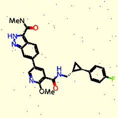 CNC(=O)c1[nH]nc2cc(-c3cnc(OC)c(C(=O)NC[C@@H]4C[C@H]4c4ccc(F)cc4)c3)ccc12